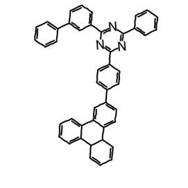 C1=CC2c3ccccc3-c3cc(-c4ccc(-c5nc(-c6ccccc6)nc(-c6cccc(-c7ccccc7)c6)n5)cc4)ccc3C2C=C1